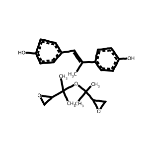 C/C(=C\c1ccc(O)cc1)c1ccc(O)cc1.CC(C)(OC(C)(C)C1CO1)C1CO1